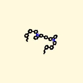 C/C=C/c1cccc(-c2cccc(-c3cccc(-n4c5ccccc5c5cc(-c6ccc(-c7ccc8c(c7)c7ccccc7n8-c7cccc(-c8cccc(-c9cccc(/C=C/C)c9)c8)c7)cc6)ccc54)c3)c2)c1